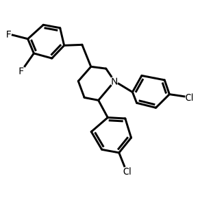 Fc1ccc(CC2CCC(c3ccc(Cl)cc3)N(c3ccc(Cl)cc3)C2)cc1F